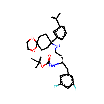 CC(C)c1cccc(C2(NCC[C@H](Cc3cc(F)cc(F)c3)NC(=O)OC(C)(C)C)CCC3(CC2)OCCO3)c1